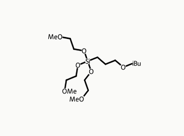 CCC(C)OCCC[Si](OCCOC)(OCCOC)OCCOC